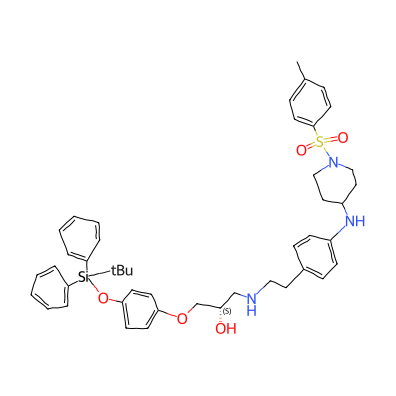 Cc1ccc(S(=O)(=O)N2CCC(Nc3ccc(CCNC[C@H](O)COc4ccc(O[Si](c5ccccc5)(c5ccccc5)C(C)(C)C)cc4)cc3)CC2)cc1